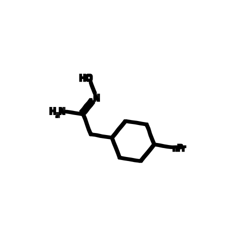 CCCC1CCC(CC(N)=NO)CC1